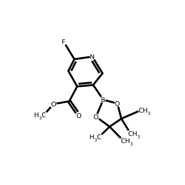 COC(=O)c1cc(F)ncc1B1OC(C)(C)C(C)(C)O1